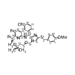 COc1ccc(CSc2cn(COCC[Si](C)(C)C)c(C(Nc3ccc(F)c(C(F)F)n3)c3cccc(Cl)c3)n2)cc1